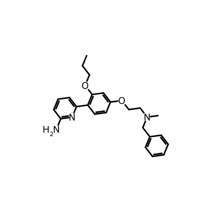 CCCOc1cc(OCCN(C)Cc2ccccc2)ccc1-c1cccc(N)n1